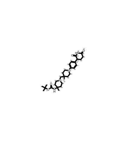 CC1(NC(=O)OC(C)(C)C)CCN(CC2(F)CCN(c3ccc(C4CCC(=O)NC4=O)cc3)CC2)CC1